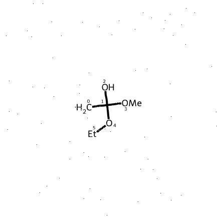 [CH2]C(O)(OC)OCC